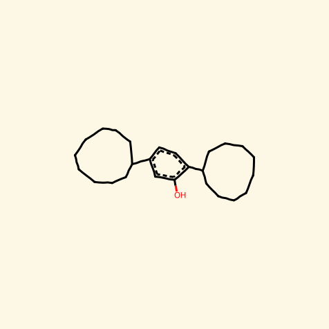 Oc1cc(C2CCCCCCCCC2)ccc1C1CCCCCCCCC1